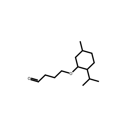 CC1CCC(C(C)C)C(OCCC[C]=O)C1